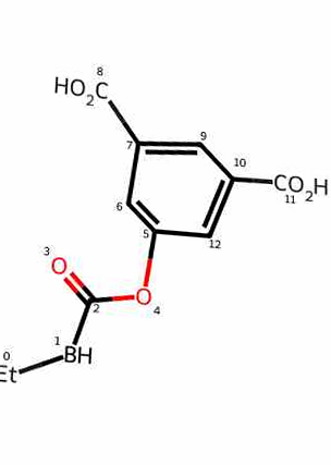 CCBC(=O)Oc1cc(C(=O)O)cc(C(=O)O)c1